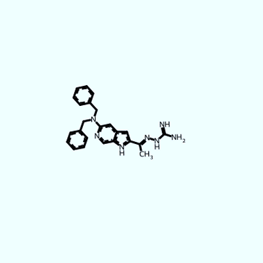 CC(=NNC(=N)N)c1cc2cc(N(Cc3ccccc3)Cc3ccccc3)ncc2[nH]1